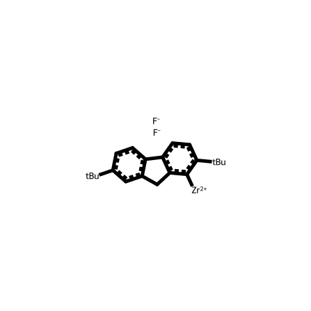 CC(C)(C)c1ccc2c(c1)Cc1c-2ccc(C(C)(C)C)[c]1[Zr+2].[F-].[F-]